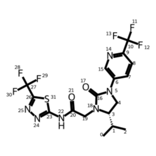 CC(C)[C@H]1CN(c2ccc(C(F)(F)F)nc2)C(=O)N1CC(=O)Nc1nnc(C(F)(F)F)s1